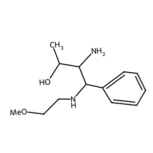 COCCNC(c1ccccc1)C(N)C(C)O